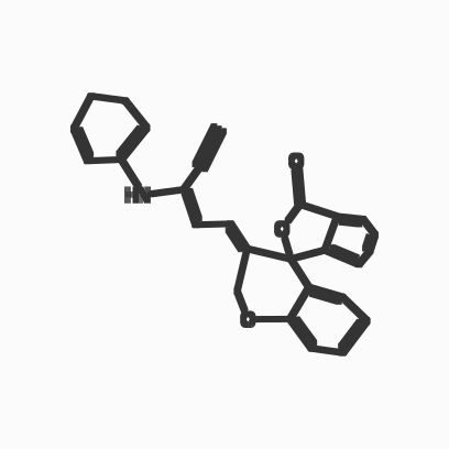 C#C/C(=C\C=C1/COc2ccccc2C12OC(=O)c1ccccc12)NC1=CCCC=C1